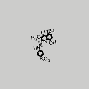 Cc1c(N=NNc2ccc([N+](=O)[O-])cc2)nc2c(O)ccc(C(C)(C)C)c2c1C